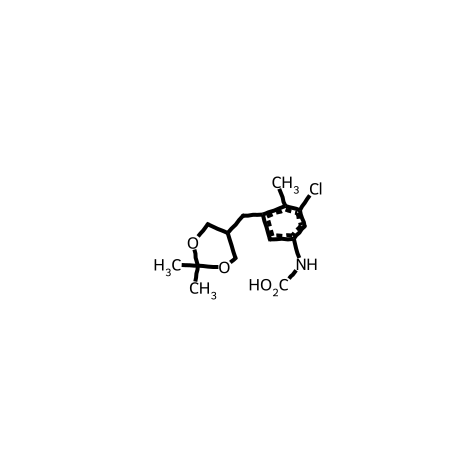 Cc1c(Cl)cc(NC(=O)O)cc1CC1COC(C)(C)OC1